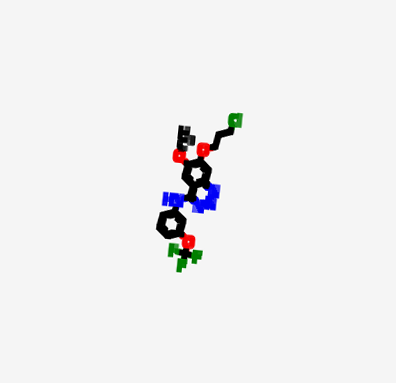 COc1cc2c(Nc3cccc(OC(F)(F)F)c3)nnnc2cc1OCCCCl